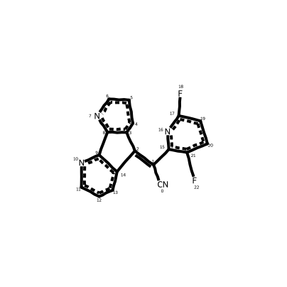 N#CC(=C1c2cccnc2-c2ncccc21)c1nc(F)ccc1F